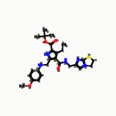 CCc1c(C(=O)OC(C)(C)C)[nH]c(CNc2ccc(OC)cc2)c1C(=O)NCc1cn2c(n1)SCC2